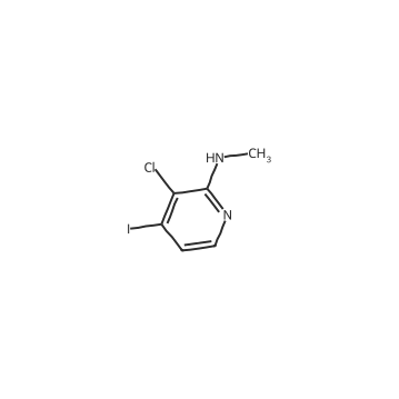 CNc1nccc(I)c1Cl